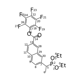 CCOP(OCC)C(C)c1ccc2ccc(C(=O)Oc3c(F)c(F)c(F)c(F)c3F)cc2c1